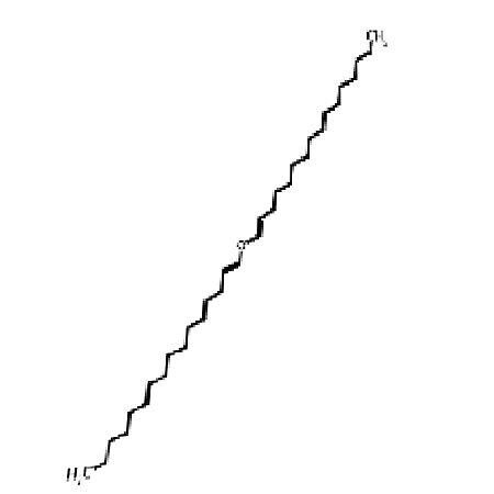 CCCCCCCCCCCCCCC=COC=CCCCCCCCCCCCCCC